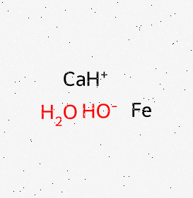 O.[CaH+].[Fe].[OH-]